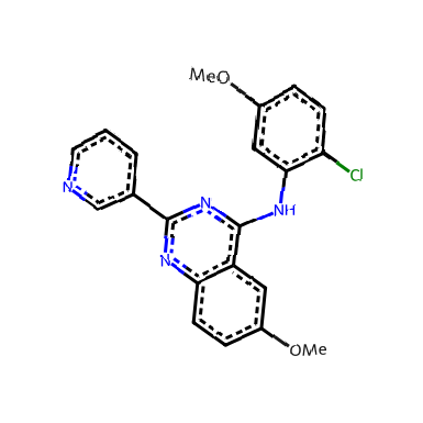 COc1ccc(Cl)c(Nc2nc(-c3cccnc3)nc3ccc(OC)cc23)c1